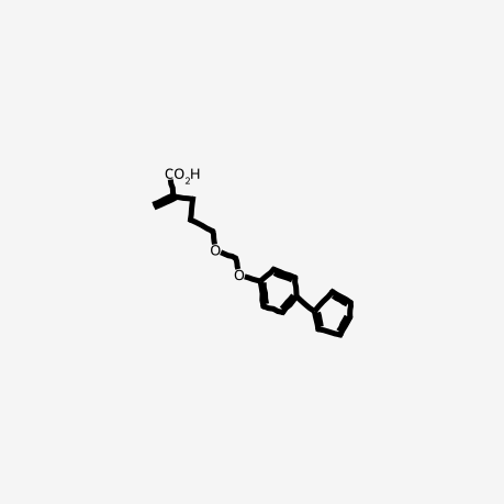 C=C(CCCOCOc1ccc(-c2ccccc2)cc1)C(=O)O